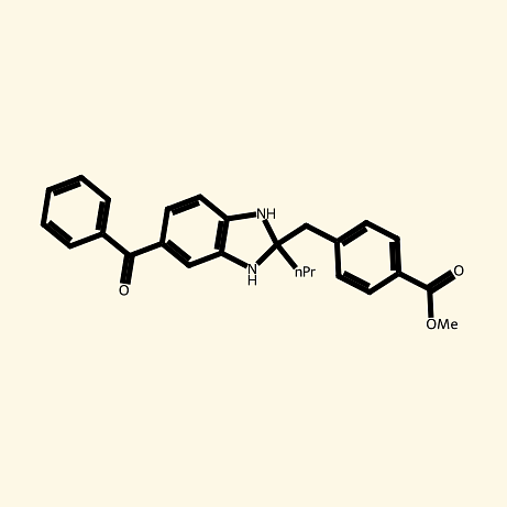 CCCC1(Cc2ccc(C(=O)OC)cc2)Nc2ccc(C(=O)c3ccccc3)cc2N1